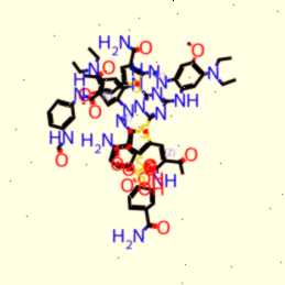 CCN(CC)c1cc(Nc2nc(Nc3cc(N(CC)CC)c(OC)cc3/N=N/c3sc(/C=C(/C(C)=O)C(=O)Nc4cccc(C(N)=O)c4)c(S(=O)(=O)O)c3C(N)=O)nc(SCc3cccc(S(=O)(=O)O)c3)n2)c(/N=N/c2sc(/C=C(\C(C)=O)C(=O)Nc3cccc(NC=O)c3)cc2C(N)=O)cc1OC